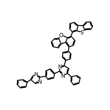 c1ccc(-c2cnc(-c3ccc(-c4nc(-c5ccccc5)cc(-c5ccc(-c6ccc(-c7cccc8c7sc7ccccc78)c7oc8ccccc8c67)cc5)n4)cc3)nc2)cc1